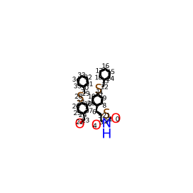 O=C1NC(=O)/C(=C/c2ccc(SCc3ccccc3)cc2)S1.O=Cc1ccc(SCc2ccccc2)cc1